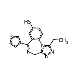 CCc1nnc2n1-c1ccc(S)cc1C(c1ccsc1)=NC2